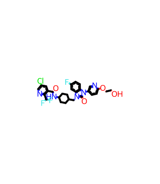 O=C(NC1CCC(Cn2c(=O)n(-c3ccc(OCCO)nc3)c3ccc(F)cc32)CC1)c1cc(Cl)cnc1C(F)F